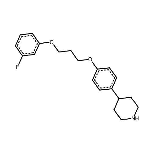 Fc1cccc(OCCCOc2ccc(C3CCNCC3)cc2)c1